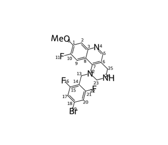 COc1cc2ncc3c(c2cc1F)N(Cc1c(F)cc(Br)cc1F)CNC3